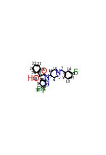 O=C(NC1CCN(Cc2cccc(F)c2)CC1)C(O)(c1ccccc1)[C@@H]1CCC(F)(F)C1